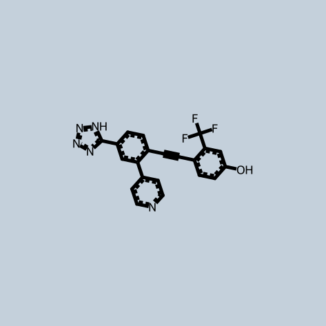 Oc1ccc(C#Cc2ccc(-c3nnn[nH]3)cc2-c2ccncc2)c(C(F)(F)F)c1